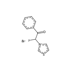 O=C(c1ccccc1)C(I)[n+]1ccsc1.[Br-]